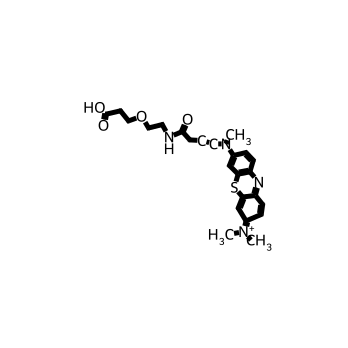 CN(CCCC(=O)NCCOCCC(=O)O)c1ccc2nc3ccc(=[N+](C)C)cc-3sc2c1